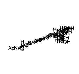 CC(=O)NCC(=O)NCCOCCOCCOCCOCCOCCOCCOCCOCCC(=O)N[C@@H](CCC(=O)NC[C@H](O)[C@@H](O)[C@H](O)[C@H](O)CO)C(=O)NC[C@H](O)[C@@H](O)[C@H](O)[C@H](O)CO